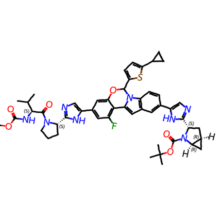 COC(=O)N[C@H](C(=O)N1CCC[C@H]1c1ncc(-c2cc(F)c3c(c2)OC(c2ccc(C4CC4)s2)n2c-3cc3cc(-c4cnc([C@@H]5C[C@H]6C[C@H]6N5C(=O)OC(C)(C)C)[nH]4)ccc32)[nH]1)C(C)C